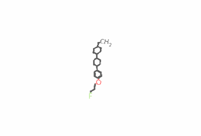 C=CC1CCC(C2CCC(c3ccc(OCCCF)cc3)CC2)CC1